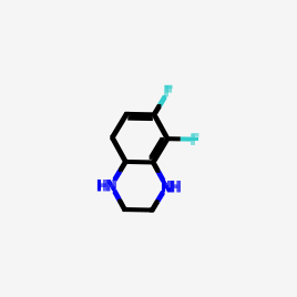 FC1=CCC2NCCNC2=C1F